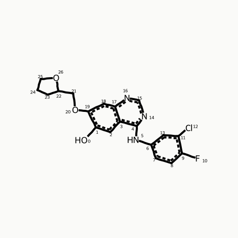 Oc1cc2c(Nc3ccc(F)c(Cl)c3)ncnc2cc1OCC1CCCO1